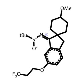 COC1CCC2(CC1)Cc1ccc(OCCC(F)(F)F)cc1/C2=N\[S+]([O-])C(C)(C)C